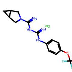 Cl.N=C(NC(=N)N1CC2CC2C1)Nc1ccc(OC(F)(F)F)cc1